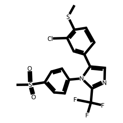 CSc1ccc(-c2cnc(C(F)(F)F)n2-c2ccc(S(C)(=O)=O)cc2)cc1Cl